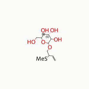 C=CC(COC1OC(CO)[C@H](O)[C@H](O)C1O)SC